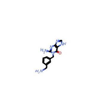 NCc1cccc(Cn2c(N)nc3nc[nH]c3c2=O)c1